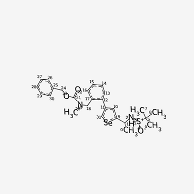 CC(N[S@+]([O-])C(C)(C)C)c1cc(-c2ccccc2CN(C)C(=O)OCc2ccccc2)c[se]1